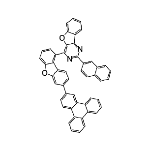 c1ccc2cc(-c3nc(-c4cccc5oc6cc(-c7ccc8c9ccccc9c9ccccc9c8c7)ccc6c45)c4oc5ccccc5c4n3)ccc2c1